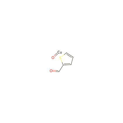 O=Cc1cccs1.[O]=[Cu]